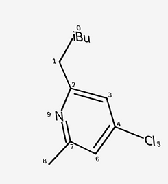 CCC(C)Cc1cc(Cl)cc(C)n1